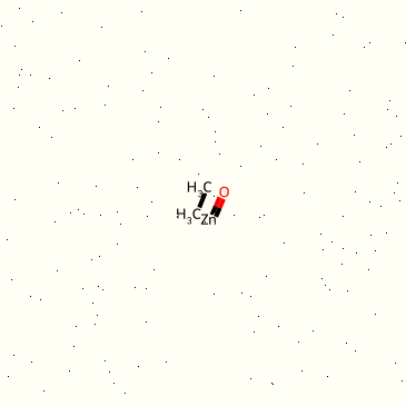 CC.[O]=[Zn]